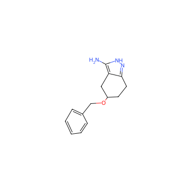 Nc1[nH]nc2c1CC(OCc1ccccc1)CC2